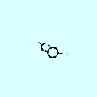 N#Cc1ccc2cc(C=O)sc2c1